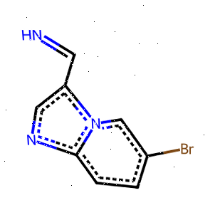 N=Cc1cnc2ccc(Br)cn12